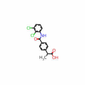 CC(C(=O)O)c1ccc(C(=O)Nc2cccc(Cl)c2Cl)cc1